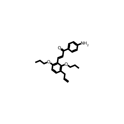 C=CCc1ccc(OCCC)c(C=CC(=O)c2ccc(N)cc2)c1OCCC